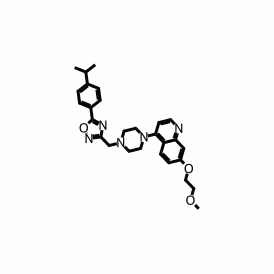 COCCOc1ccc2c(N3CCN(Cc4noc(-c5ccc(C(C)C)cc5)n4)CC3)ccnc2c1